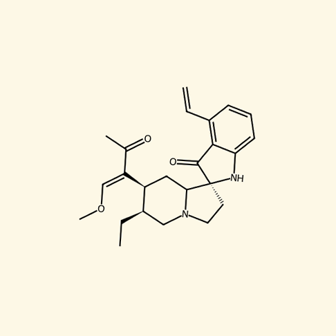 C=Cc1cccc2c1C(=O)[C@@]1(CCN3C[C@@H](CC)[C@@H](/C(=C\OC)C(C)=O)CC31)N2